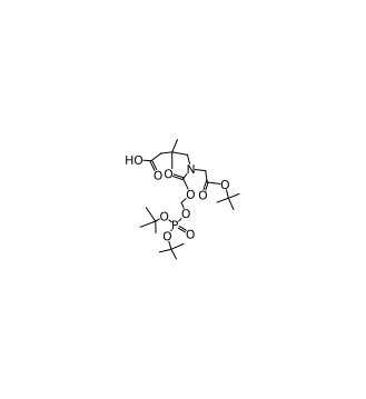 CC(C)(CC(=O)O)CN(CC(=O)OC(C)(C)C)C(=O)OCOP(=O)(OC(C)(C)C)OC(C)(C)C